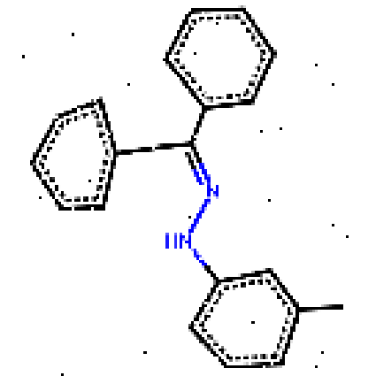 Cc1cccc(NN=C(c2ccccc2)c2ccccc2)c1